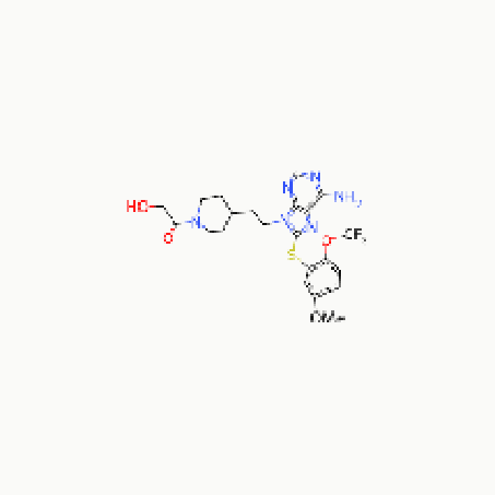 COc1ccc(OC(F)(F)F)c(Sc2nc3c(N)ncnc3n2CCC2CCN(C(=O)CO)CC2)c1